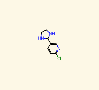 Clc1ccc(C2NCCN2)cn1